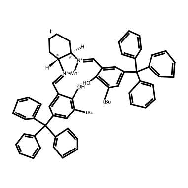 CC(C)(C)c1cc(C(c2ccccc2)(c2ccccc2)c2ccccc2)cc(C=[N+]2[Mn][N+](=Cc3cc(C(c4ccccc4)(c4ccccc4)c4ccccc4)cc(C(C)(C)C)c3O)[C@@H]3CCCC[C@H]32)c1O.[I-]